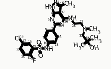 Cc1n[nH]c2nc(-c3ccc(NS(=O)(=O)c4cc(Cl)ccc4F)cc3)nc(NCCN(C)CC(C)(C)O)c12